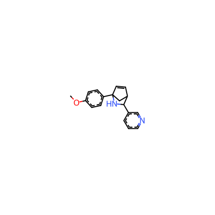 COc1ccc(C23C=CC(C2)C(c2cccnc2)N3)cc1